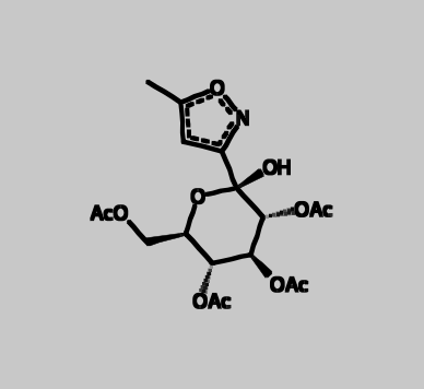 CC(=O)OC[C@H]1O[C@](O)(c2cc(C)on2)[C@H](OC(C)=O)[C@@H](OC(C)=O)[C@@H]1OC(C)=O